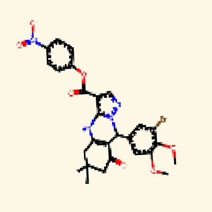 COc1cc(C2C3=C(CC(C)(C)CC3=O)Nc3c(C(=O)Oc4ccc([N+](=O)[O-])cc4)cnn32)cc(Br)c1OC